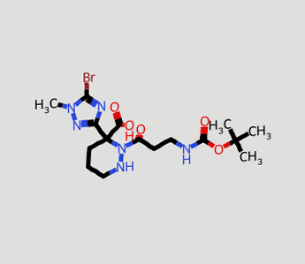 Cn1nc(C2(C(=O)O)CCCNN2C(=O)CCNC(=O)OC(C)(C)C)nc1Br